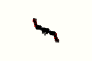 CCOCCOCCOc1ccc2cc(/C=C/c3ccc4cc5c(C)c(/C=C/c6ccc7cc(OCCOCCOCC)ccc7c6)ccc5cc4c3)ccc2c1